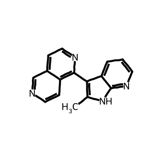 Cc1[nH]c2ncccc2c1-c1nccc2cnccc12